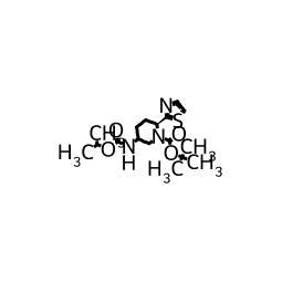 CC(C)OC(=O)NC1CC[C@@H](c2nccs2)N(C(=O)OC(C)(C)C)C1